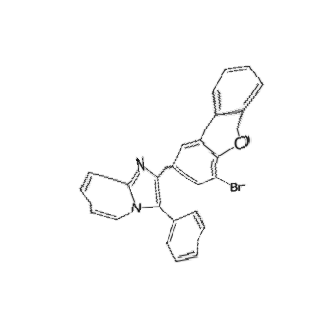 Brc1cc(-c2nc3ccccn3c2-c2ccccc2)cc2c1oc1ccccc12